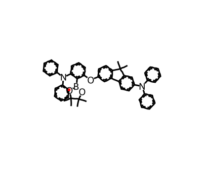 CC1(C)c2ccc(Oc3cccc(N(c4ccccc4)c4ccccc4)c3B3OC(C)(C)C(C)(C)O3)cc2-c2ccc(N(c3ccccc3)c3ccccc3)cc21